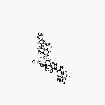 CCc1cc(Nc2nccn3c(-c4cn(CC#N)nc4C(F)(F)F)cnc23)ccc1C(=O)NCC(=O)N1CCCC1CN.O=CO